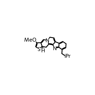 COC1=CS[C@H]2CC3=C4N=C5C(CC(C)C)=CCC=C5C4=CCN3C=C12